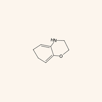 C1=C2NCCOC2=CCC1